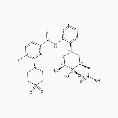 C[C@H]1O[C@@H](c2ccncc2NC(=O)c2ccc(F)c(N3CCS(=O)(=O)CC3)n2)C[C@@H](NC(=O)O)[C@]1(C)O